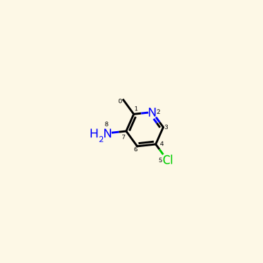 Cc1ncc(Cl)cc1N